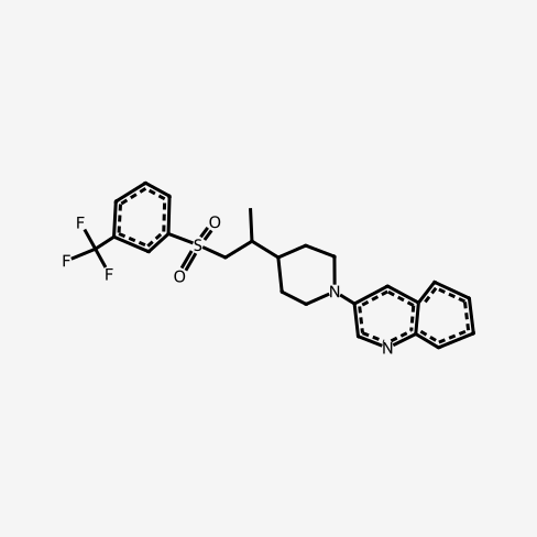 CC(CS(=O)(=O)c1cccc(C(F)(F)F)c1)C1CCN(c2cnc3ccccc3c2)CC1